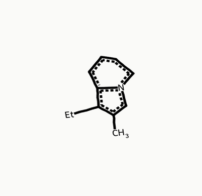 CCc1c(C)cn2ccccc12